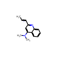 C/C=C/c1cc(N(C)C)c2ccccc2n1